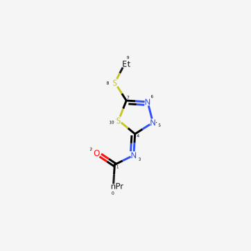 CCCC(=O)N=C1[N]N=C(SCC)S1